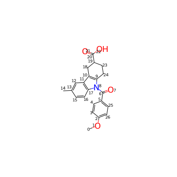 COc1ccc(C(=O)n2c3c(c4cc(C)ccc42)CC(C(=O)O)CC3)cc1